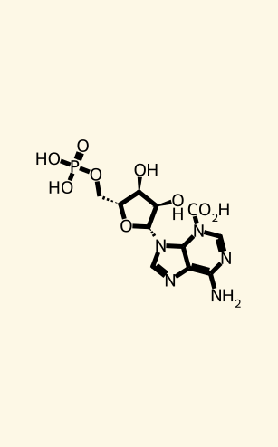 NC1=C2N=CN([C@@H]3O[C@H](COP(=O)(O)O)[C@@H](O)[C@H]3O)C2N(C(=O)O)C=N1